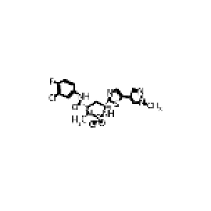 CN1[C@H](C(=O)Nc2ccc(F)c(Cl)c2)C[C@H](c2ncc(-c3cnn(C)c3)s2)NS1(=O)=O